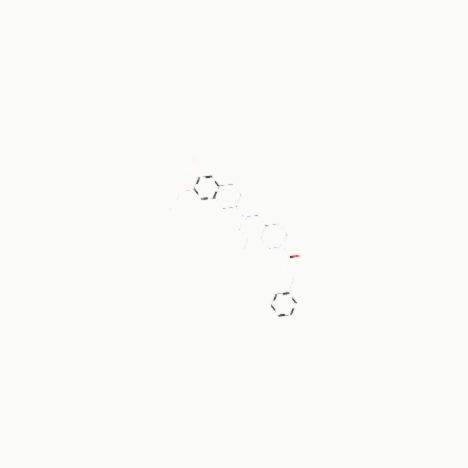 CCCN(CC1CCN(C(=O)OCc2ccccc2)CC1)C1CCc2cc(OC)c(OC)cc2C1